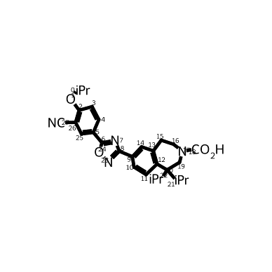 CC(C)Oc1ccc(-c2nc(-c3ccc4c(c3)CCN(C(=O)O)CC4(C(C)C)C(C)C)no2)cc1C#N